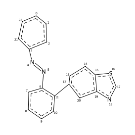 c1ccc(N=Nc2ccccc2-c2ccc3scnc3c2)cc1